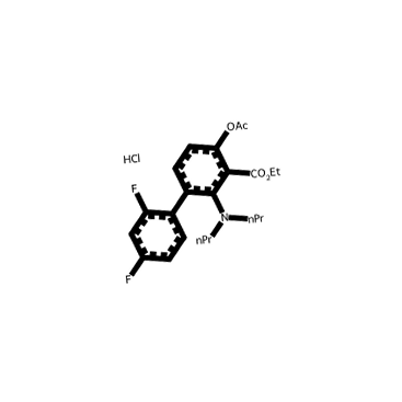 CCCN(CCC)c1c(-c2ccc(F)cc2F)ccc(OC(C)=O)c1C(=O)OCC.Cl